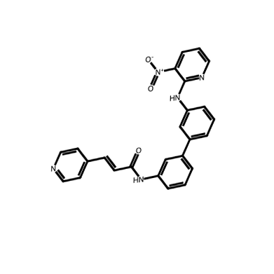 O=C(C=Cc1ccncc1)Nc1cccc(-c2cccc(Nc3ncccc3[N+](=O)[O-])c2)c1